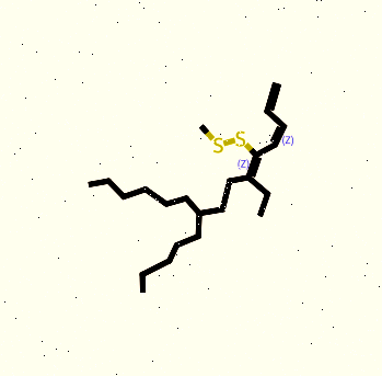 C=C/C=C\C(SSC)=C(/CC)CCC(CCCCC)CCCCCC